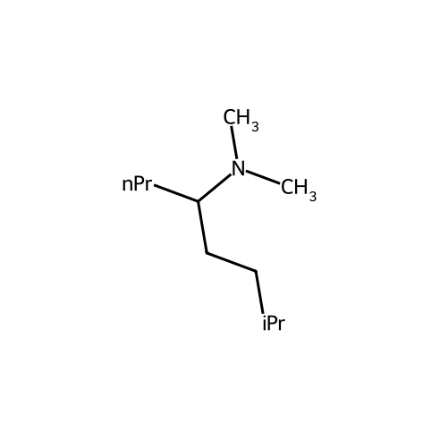 CCCC(CCC(C)C)N(C)C